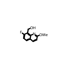 COc1ccc2ccc(F)c(CO)c2n1